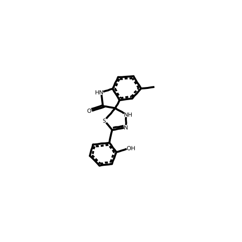 Cc1ccc2c(c1)C1(NN=C(c3ccccc3O)S1)C(=O)N2